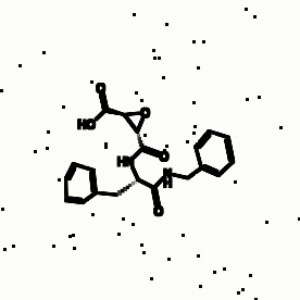 O=C(NCc1ccccc1)[C@H](Cc1ccccc1)NC(=O)[C@H]1O[C@@H]1C(=O)O